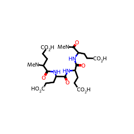 CNC(=O)C(CCC(=O)O)NC(=O)C(CCC(=O)O)NC(=O)C(CCC(=O)O)NC(=O)C(CCC(=O)O)NC